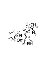 CC(C)(C)OC(=O)N1C2=C(CNCC2)C(O)N1Cc1ccccc1